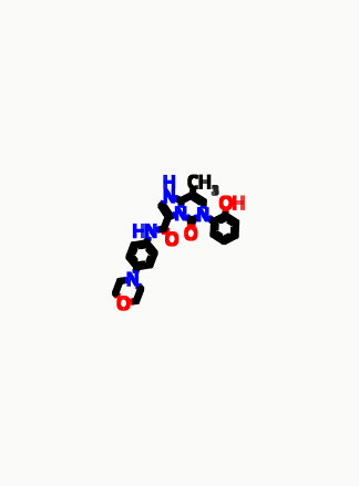 CC1=CN(c2ccccc2O)C(=O)N2C(C(=O)Nc3ccc(N4CCOCC4)cc3)=CNC12